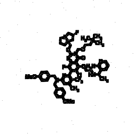 COc1ccc(CN(Cc2ccc(OC)cc2)c2cc(C)c(C(F)(F)F)c(-c3c(Cl)c(OCCN[C@H](C)c4cccnc4N)c4c(=O)n(COCC[Si](C)(C)C)c(OC[C@@]56CCCN5C[C@H](F)C6)nc4c3F)n2)cc1